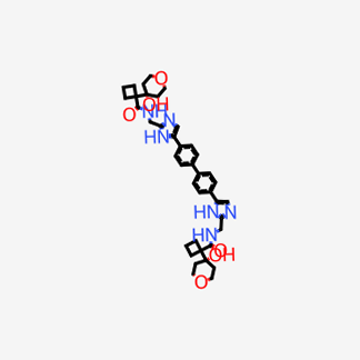 O=C(NCc1ncc(-c2ccc(-c3ccc(-c4cnc(CNC(=O)C5(C6(O)CCOCC6)CCC5)[nH]4)cc3)cc2)[nH]1)C1(C2(O)CCOCC2)CCC1